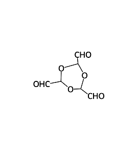 O=CC1OC(C=O)OC(C=O)O1